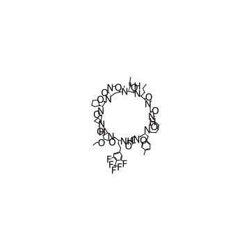 CC#C[C@H]1C(=O)N[C@@H]([C@@H](C)CC)C(=O)N(C)CC(=O)N(C)[C@H]2C/C=C\CCN(C2=O)[C@@H](Cc2ccc(C)cc2)C(=O)N(C)CC(=O)N[C@@H](CCc2cc(F)c(C(F)(F)F)c(F)c2)C(=O)N2C[C@H](OCC)C[C@H]2C(=O)N(C)C2(CCC2)C(=O)N(C)[C@@H](C2CCCC2)C(=O)N(C)[C@H](C(=O)N(C)C)CC(=O)N1C